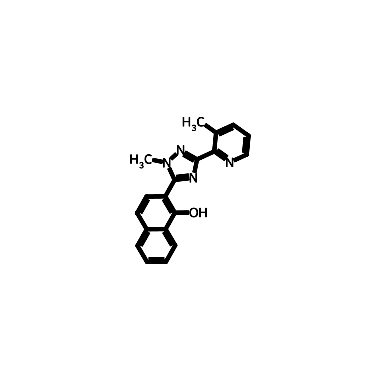 Cc1cccnc1-c1nc(-c2ccc3ccccc3c2O)n(C)n1